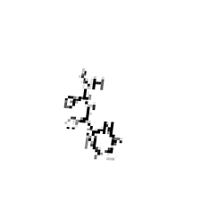 CNC(=O)CC(=O)c1ncccn1